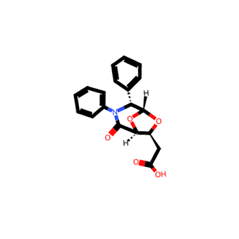 O=C(O)C[C@@H]1O[C@@H]2O[C@@H]1C(=O)N(c1ccccc1)[C@@H]2c1ccccc1